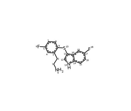 NCCc1cc(F)ccc1Sc1c[nH]c2ccc(F)cc12